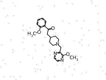 COc1ccccc1C(=O)CC1CCN(Cc2nccnc2OC)CC1